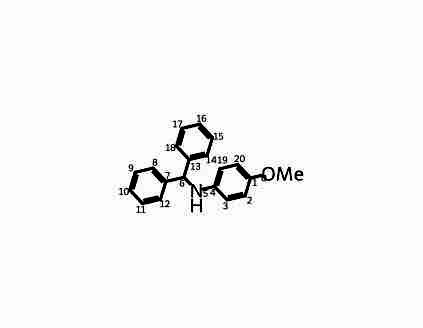 COc1ccc(NC(c2ccccc2)c2ccccc2)cc1